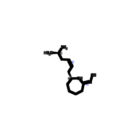 N[C@@H](C/C=C\C[C@H]1CCCC/C(=N/O)N1)C(=O)O